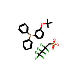 CC(C)(C)Oc1cccc([S+](c2ccccc2)c2ccccc2)c1.O=S(=O)([O-])CC(F)(F)C(F)(F)C(F)(F)F